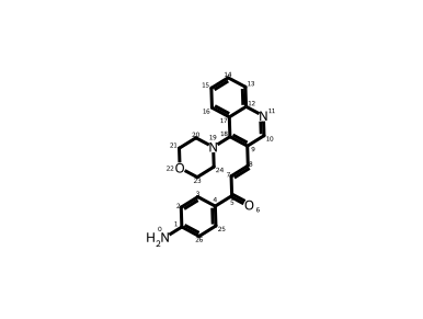 Nc1ccc(C(=O)C=Cc2cnc3ccccc3c2N2CCOCC2)cc1